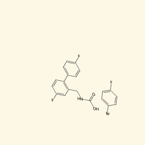 Fc1ccc(Br)cc1.O=C(O)NCc1cc(F)ccc1-c1ccc(F)cc1